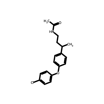 CC(=O)NCCC(C)c1ccc(Oc2ccc(Cl)cc2)cc1